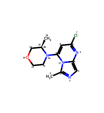 Cc1ncc2nc(Cl)cc(N3CCOC[C@H]3C)n12